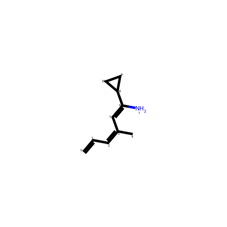 C=C/C=C(C)\C=C(/N)C1CC1